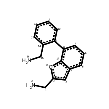 NCc1cc2cccc(-c3ccccc3CN)c2o1